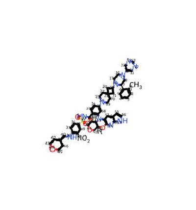 Cc1ccccc1[C@@H]1CN(c2cncnc2)CCN1C1CC2(CCN(c3ccc(C(=O)NS(=O)(=O)c4ccc(NCC5CCOCC5)c([N+](=O)[O-])c4)c(N4c5cc6cc[nH]c6nc5O[C@H]5COCC[C@@H]54)c3)CC2)C1